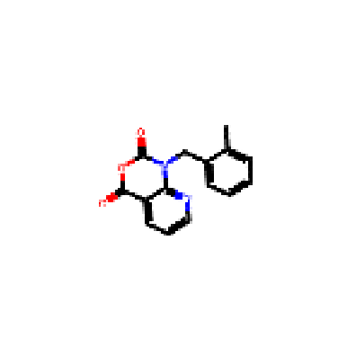 Cc1ccccc1Cn1c(=O)oc(=O)c2cccnc21